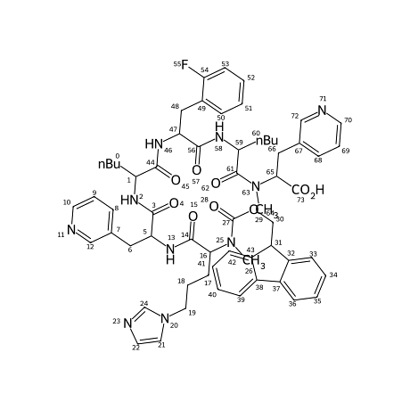 CCCCC(NC(=O)C(Cc1cccnc1)NC(=O)C(CCCn1ccnc1)N(C)C(=O)OCC1c2ccccc2-c2ccccc21)C(=O)NC(Cc1ccccc1F)C(=O)NC(CCCC)C(=O)N(C)C(Cc1cccnc1)C(=O)O